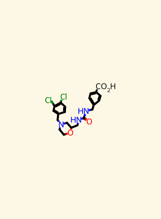 O=C(NCc1ccc(C(=O)O)cc1)NCC1CN(Cc2ccc(Cl)c(Cl)c2)CCO1